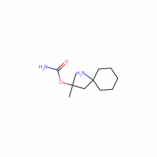 CC(C)(CC1(N)CCCCC1)OC(N)=O